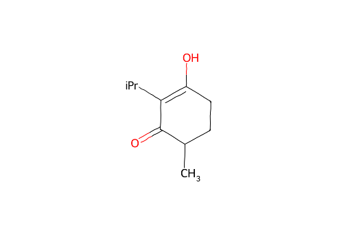 CC(C)C1=C(O)CCC(C)C1=O